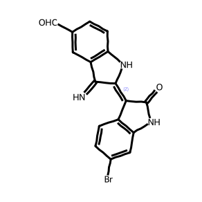 N=C1/C(=C2/C(=O)Nc3cc(Br)ccc32)Nc2ccc(C=O)cc21